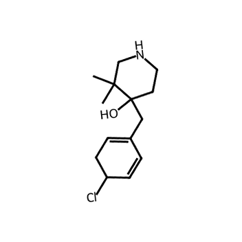 CC1(C)CNCCC1(O)CC1=CCC(Cl)C=C1